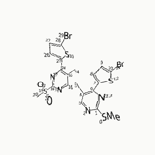 CSc1ncc(C)c(-c2ccc(Br)s2)n1.Cc1cnc(S(C)(=O)=O)nc1-c1ccc(Br)s1